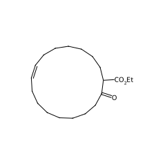 CCOC(=O)C1CCCCCCC=CCCCCCCCC1=O